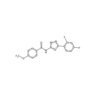 O=C(Nc1nnc(-c2ccc(F)cc2F)o1)c1ccc(OC(F)(F)F)cc1